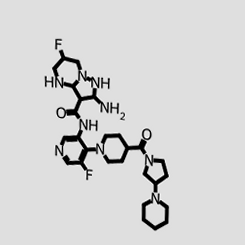 NC1NN2CC(F)CNC2C1C(=O)Nc1cncc(F)c1N1CCC(C(=O)N2CCC(N3CCCCC3)C2)CC1